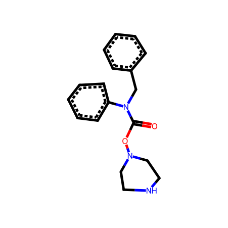 O=C(ON1CCNCC1)N(Cc1ccccc1)c1ccccc1